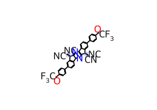 [C-]#[N+]/C(C#N)=C1/c2cc(-c3ccc(C(=O)C(F)(F)F)cc3)ccc2-c2nc3c(nc21)-c1ccc(-c2ccc(C(=O)C(F)(F)F)cc2)cc1/C3=C(/C#N)[N+]#[C-]